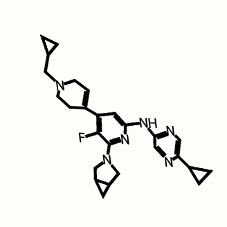 Fc1c(C2=CCN(CC3CC3)CC2)cc(Nc2cnc(C3CC3)cn2)nc1N1CC2CC2C1